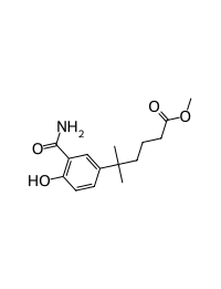 COC(=O)CCCC(C)(C)c1ccc(O)c(C(N)=O)c1